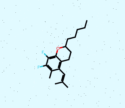 CCCCCC1CCc2c(C=C(C)C)c(C)c(F)c(F)c2O1